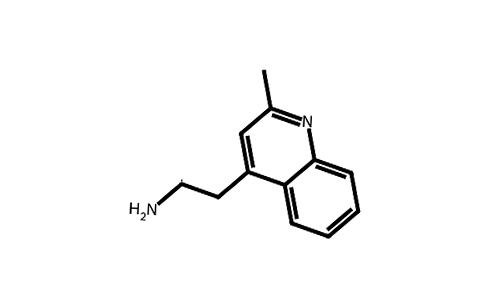 Cc1cc(C[CH]N)c2ccccc2n1